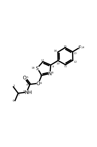 CC(C)NC(=O)Oc1nc(-c2ccc(F)cc2)cs1